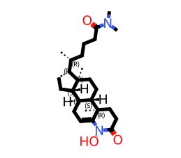 C[C@H](CCCC(=O)N(C)C)[C@H]1CC[C@H]2[C@@H]3CC=C4N(O)C(=O)CC[C@]4(C)[C@H]3CC[C@]12C